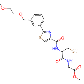 COCCOCc1cccc(-c2nc(C(=O)NC(CS)C(=O)NCC(=O)OC)cs2)c1